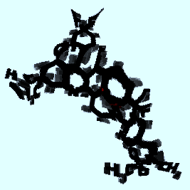 CN(Cc1cnc(N2CCC(c3nc4c(c(C5CCC(F)(F)CC5)c3C(F)c3ccc(C(F)(F)F)cc3)[C@@H](O)CC(C)(C)C4)CC2)nc1)S(C)(=O)=O